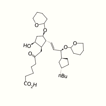 CCCC[C@H]1CC[C@H]([C@@H](/C=C/[C@@H]2[C@@H](CC(=O)CCCCC(=O)O)[C@@H](O)C[C@H]2OC2CCCCO2)OC2CCCCO2)C1